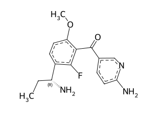 CC[C@@H](N)c1ccc(OC)c(C(=O)c2ccc(N)nc2)c1F